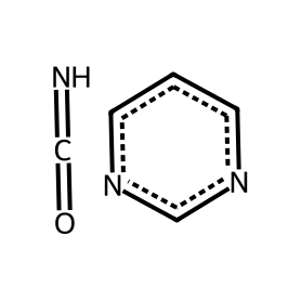 N=C=O.c1cncnc1